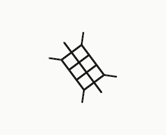 CC1C2C3C(C)C4(C)C(C)C5C6C(C)C1(C)C26C354